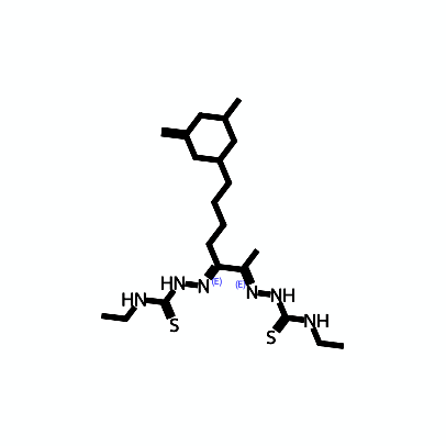 C=C1CC(C)CC(CCCCC(=N\NC(=S)NCC)/C(C)=N/NC(=S)NCC)C1